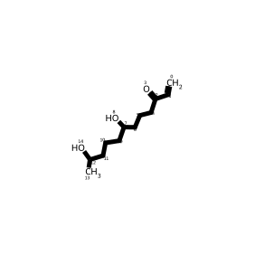 C=CC(=O)CCCC(O)CCCC(C)O